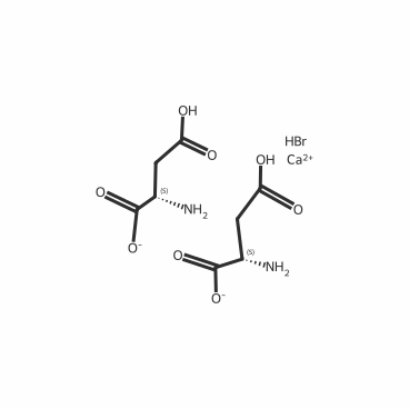 Br.N[C@@H](CC(=O)O)C(=O)[O-].N[C@@H](CC(=O)O)C(=O)[O-].[Ca+2]